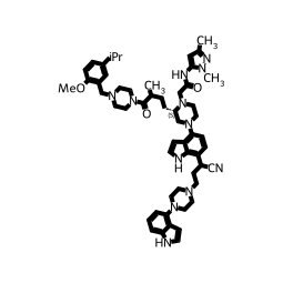 COc1ccc(C(C)C)cc1CN1CCN(C(=O)C(C)CC[C@H]2CN(c3ccc(C(C#N)CCN4CCN(c5cccc6[nH]ccc56)CC4)c4[nH]ccc34)CCN2CC(=O)Nc2cc(C)nn2C)CC1